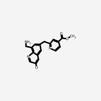 COC(=O)c1ccnc(Cc2cc(CN)c3ncc(Cl)cc3c2)c1